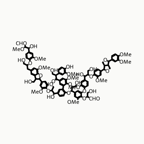 COc1cc(C(CO)C(=O)c2cc(OC)c3c(c2)-c2cc(C(O)C(CO)Oc4ccc(C5Oc6c(OC)cc(CC(CO)Oc7ccc(C(O)C(C=O)OC)cc7OC)cc6C5CO)cc4OC)ccc2OC(c2cc(OC)c(OC(C=O)CO)c(Oc4ccc(C(O)C(CO)Oc5ccc(C6OCC7C(c8ccc(OC)c(OC)c8)OCC67)cc5OC)cc4OC)c2)C(CO)O3)ccc1O